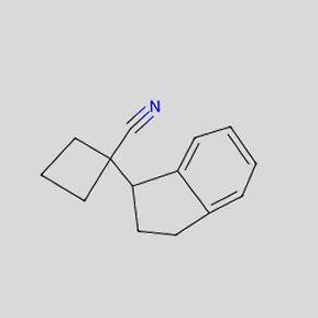 N#CC1(C2CCc3ccccc32)CCC1